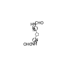 O=CNc1ccc(C2CCC(c3ccc(NC=O)nn3)C2)nn1